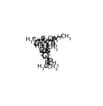 CCCCOC(=O)C(C)(C)CC(C)(CC(C)(C)C(=O)OC1(CC)CCN(C(=O)OC(C)(C)C)CC1)C(=O)OCC(C)C